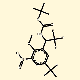 COc1c(C(NC(=O)OC(C)(C)C)C(F)(F)F)cc(C(C)(C)C)cc1[N+](=O)[O-]